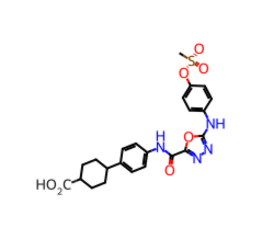 CS(=O)(=O)Oc1ccc(Nc2nnc(C(=O)Nc3ccc(C4CCC(C(=O)O)CC4)cc3)o2)cc1